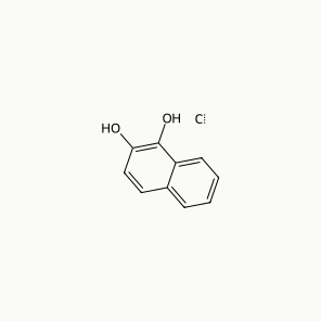 Oc1ccc2ccccc2c1O.[C]